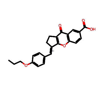 CCCOc1ccc(/C=C2\CCc3c2oc2ccc(C(=O)O)cc2c3=O)cc1